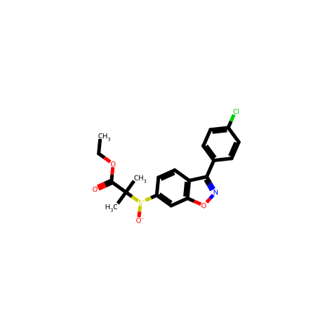 CCOC(=O)C(C)(C)[S+]([O-])c1ccc2c(-c3ccc(Cl)cc3)noc2c1